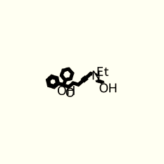 CCN(CC#CCCC(=O)C(O)(c1ccccc1)C1CCCCC1)CCO